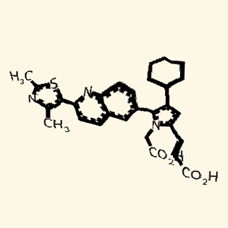 Cc1nc(C)c(-c2ccc3cc(-c4c(C5CCCCC5)cc(C=CC(=O)O)n4CC(=O)O)ccc3n2)s1